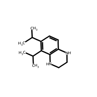 CC(C)c1ccc2c(c1C(C)C)NCCN2